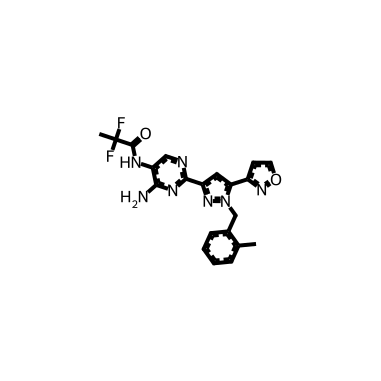 Cc1ccccc1Cn1nc(-c2ncc(NC(=O)C(C)(F)F)c(N)n2)cc1-c1ccon1